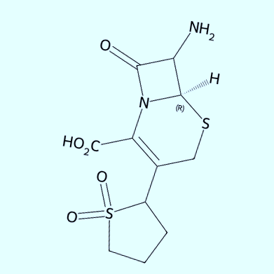 NC1C(=O)N2C(C(=O)O)=C(C3CCCS3(=O)=O)CS[C@H]12